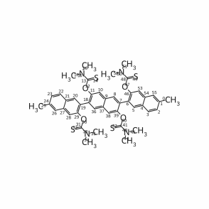 Cc1ccc2cc(-c3cc4cc(OC(=S)N(C)C)c(-c5cc6ccc(C)cc6cc5OC(=S)N(C)C)cc4cc3OC(=S)N(C)C)c(OC(=S)N(C)C)cc2c1